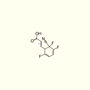 N#CC1(F)C(F)=CC=C(F)C1/C=C/C(=O)O